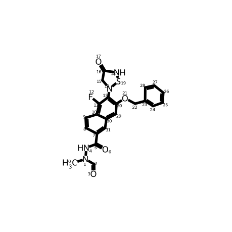 CN(C=O)NC(=O)c1ccc2c(F)c(N3CC(=O)NS3)c(OCc3ccccc3)cc2c1